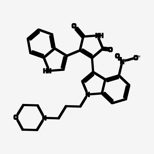 O=C1NC(=O)C(c2cn(CCCN3CCOCC3)c3cccc([N+](=O)[O-])c23)=C1c1c[nH]c2ccccc12